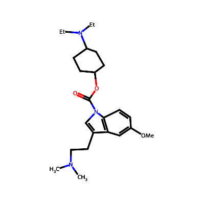 CCN(CC)C1CCC(OC(=O)n2cc(CCN(C)C)c3cc(OC)ccc32)CC1